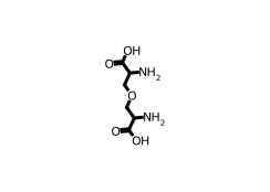 NC(COCC(N)C(=O)O)C(=O)O